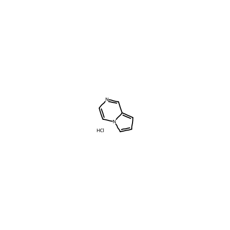 Cl.c1cc2cnccn2c1